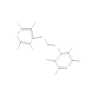 Fc1nc(F)c(Cl)c(OCOc2c(Cl)c(F)nc(F)c2Cl)c1Cl